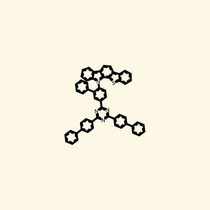 c1ccc(-c2ccc(-c3nc(-c4ccc(-c5ccccc5)cc4)nc(-c4ccc(-n5c6ccccc6c6ccc7c8ccccc8sc7c65)c(-c5ccccc5)c4)n3)cc2)cc1